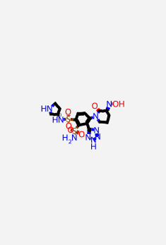 NS(=O)(=O)c1c(S(=O)(=O)N[C@@H]2CCNC2)ccc(N2CCCC(=NO)C2=O)c1-c1nn[nH]n1